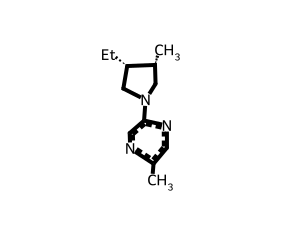 CC[C@H]1CN(c2cnc(C)cn2)C[C@H]1C